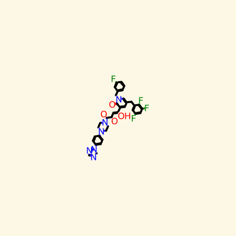 O=C(C=C(O)c1cc(Cc2cc(F)cc(F)c2F)cn(Cc2cccc(F)c2)c1=O)C(=O)N1CCN(c2ccc(-n3cncn3)cc2)CC1